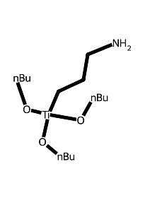 CCCC[O][Ti]([CH2]CCN)([O]CCCC)[O]CCCC